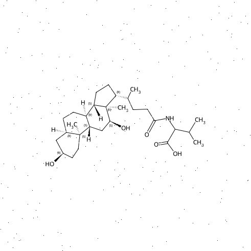 CC(C)C(NC(=O)CCC(C)[C@H]1CC[C@H]2[C@@H]3CC[C@@H]4C[C@H](O)CC[C@]4(C)[C@H]3C[C@H](O)[C@]12C)C(=O)O